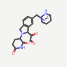 O=CC(=O)C1c2cc(CN3CC4CCC3CN4)ccc2CN1C1CCC(=O)NC1=O